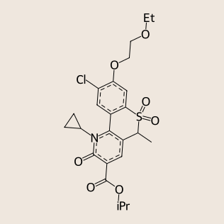 CCOCCOc1cc2c(cc1Cl)-c1c(cc(C(=O)OC(C)C)c(=O)n1C1CC1)C(C)S2(=O)=O